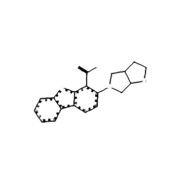 NC(=O)c1c(N2CC3CCNC3C2)ccc2c1[nH]c1ccccc12